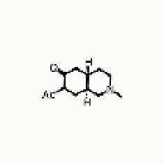 CC(=O)C1C[C@@H]2CN(C)CC[C@H]2CC1=O